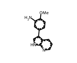 COc1ccc(-c2c[nH]c3ncccc23)cc1N